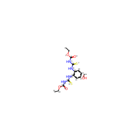 CCOC(=O)NC(=S)Nc1ccccc1NC(=S)NC(=O)OCC.CO